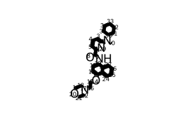 CN(c1cccc(C(=O)Nc2ccc(OCCN3CCOCC3)c3ccccc23)n1)C1CCCCC1